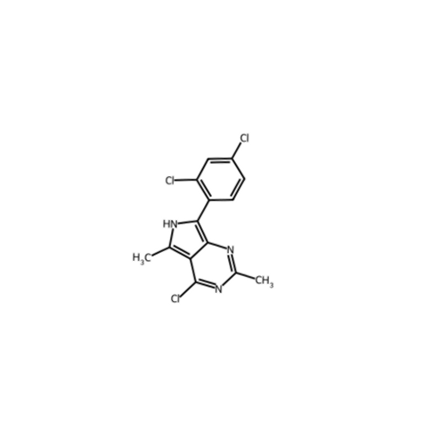 Cc1nc(Cl)c2c(C)[nH]c(-c3ccc(Cl)cc3Cl)c2n1